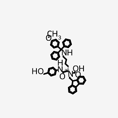 COc1ccc(C(NCCCC[C@@H](C(=O)Nc2ccc(CO)cc2)N(CC2c3ccccc3-c3ccccc32)C(=O)O)(c2ccccc2)c2ccccc2)cc1